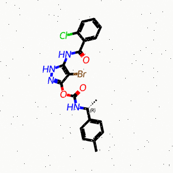 Cc1ccc([C@@H](C)NC(=O)Oc2n[nH]c(NC(=O)c3ccccc3Cl)c2Br)cc1